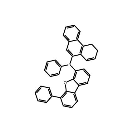 C1=Cc2c(N(c3ccccc3)c3cccc4c3oc3c(-c5ccccc5)cccc34)cc3ccccc3c2CC1